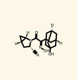 N#C[C@@H]1C[C@@H]2C[C@@H]2N1C(=O)C(=NO)C12C[C@@H]3C[C@@H](CC(O)(C3)C1)C2